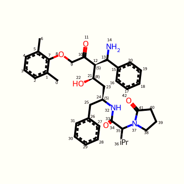 Cc1cccc(C)c1OCC(=O)[C@@H](C(N)c1ccccc1)[C@H](O)C[C@H](Cc1ccccc1)NC(=O)C(C(C)C)N1CCCC1=O